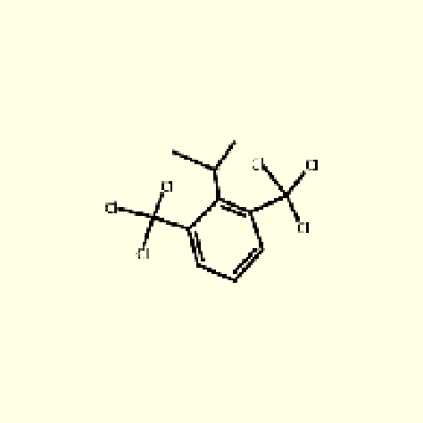 C[C](C)c1c(C(Cl)(Cl)Cl)cccc1C(Cl)(Cl)Cl